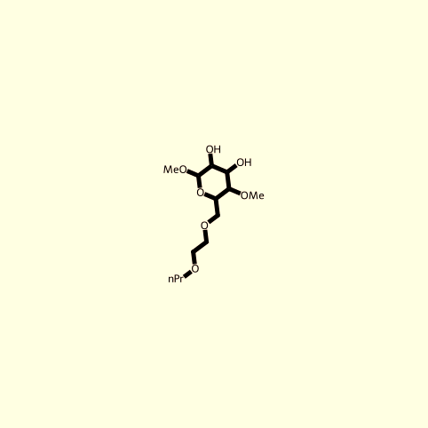 CCCOCCOCC1OC(OC)C(O)C(O)C1OC